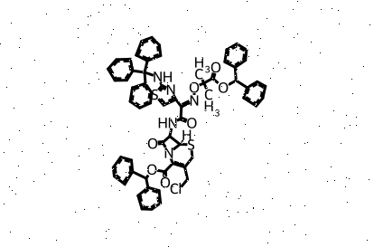 CC(C)(O/N=C(/C(=O)NC1C(=O)N2C(C(=O)OC(c3ccccc3)c3ccccc3)=C(CCl)CS[C@H]12)c1csc(NC(c2ccccc2)(c2ccccc2)c2ccccc2)n1)C(=O)OC(c1ccccc1)c1ccccc1